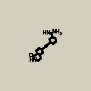 N=C(N)c1cccc(C#Cc2ccc3c(c2)CCNC3=O)c1